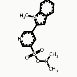 CN(C)OS(=O)(=O)c1cncc(-c2cc3ccccc3n2C)c1